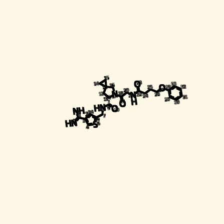 N=C(N)c1csc(CNC(=O)[C@@H]2CC3(CC3)CN2C(=O)CNC(=O)CCCOc2ccccc2)c1